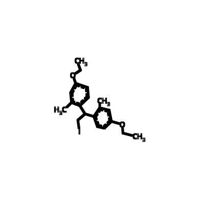 CCOc1ccc(C(CI)c2ccc(OCC)cc2C)c(C)c1